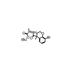 CN(NC(=O)C1(C)CCOc2c(Br)cccc21)C(=O)OC(C)(C)C